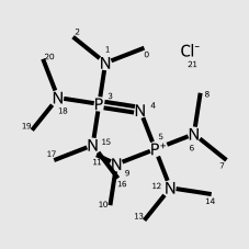 CN(C)P(=N[P+](N(C)C)(N(C)C)N(C)C)(N(C)C)N(C)C.[Cl-]